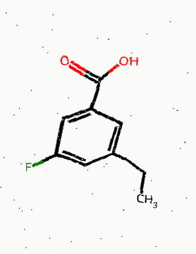 CCc1cc(F)cc(C(=O)O)c1